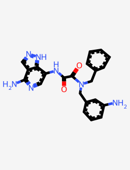 Nc1cccc(CN(Cc2ccccc2)C(=O)C(=O)Nc2cnc(N)c3cn[nH]c23)c1